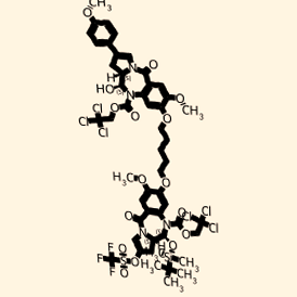 COc1ccc(C2=CN3C(=O)c4cc(OC)c(OCCCCCOc5cc6c(cc5OC)C(=O)N5C=C(OS(=O)(=O)C(F)(F)F)C[C@H]5[C@H](O[Si](C)(C)C(C)(C)C)N6C(=O)OCC(Cl)(Cl)Cl)cc4N(C(=O)OCC(Cl)(Cl)Cl)[C@@H](O)[C@@H]3C2)cc1